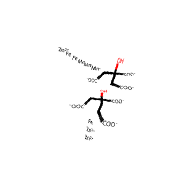 O=C([O-])CC(O)(CC(=O)[O-])C(=O)[O-].O=C([O-])CC(O)(CC(=O)[O-])C(=O)[O-].[Fe].[Fe].[Fe].[Mn].[Mn].[Mn].[Zn+2].[Zn+2].[Zn+2]